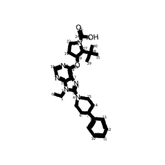 CCn1c(N2CCC(c3ccccc3)CC2)nc2c(OC3CCN(C(=O)O)C3C(C)(C)C)ncnc21